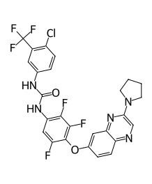 O=C(Nc1ccc(Cl)c(C(F)(F)F)c1)Nc1cc(F)c(Oc2ccc3ncc(N4CCCC4)nc3c2)c(F)c1F